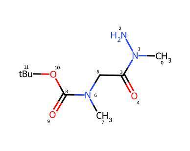 CN(N)C(=O)CN(C)C(=O)OC(C)(C)C